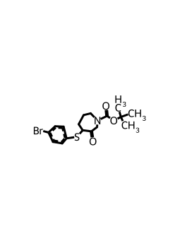 CC(C)(C)OC(=O)N1CCCC(Sc2ccc(Br)cc2)C(=O)C1